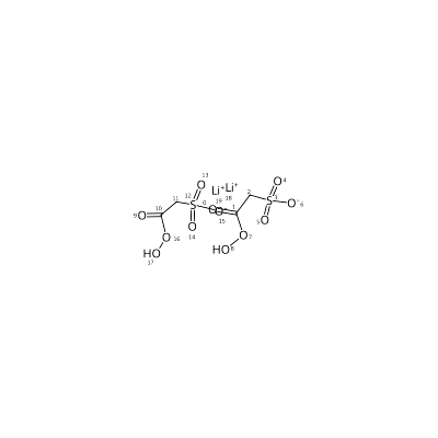 O=C(CS(=O)(=O)[O-])OO.O=C(CS(=O)(=O)[O-])OO.[Li+].[Li+]